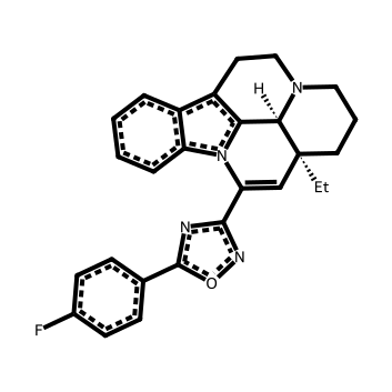 CC[C@@]12C=C(c3noc(-c4ccc(F)cc4)n3)n3c4c(c5ccccc53)CCN(CCC1)[C@H]42